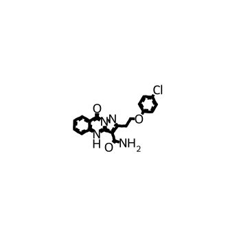 NC(=O)c1c(CCOc2ccc(Cl)cc2)nn2c(=O)c3ccccc3[nH]c12